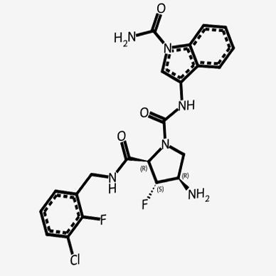 NC(=O)n1cc(NC(=O)N2C[C@@H](N)[C@H](F)[C@H]2C(=O)NCc2cccc(Cl)c2F)c2ccccc21